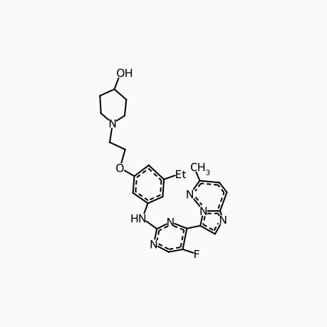 CCc1cc(Nc2ncc(F)c(-c3cnc4ccc(C)nn34)n2)cc(OCCN2CCC(O)CC2)c1